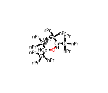 CC[CH2][Ge]([CH2]CC)([CH2]CC)[GeH]([O][GeH]([Ge]([CH2]CC)([CH2]CC)[CH2]CC)[Ge]([CH2]CC)([CH2]CC)[CH2]CC)[Ge]([CH2]CC)([CH2]CC)[CH2]CC